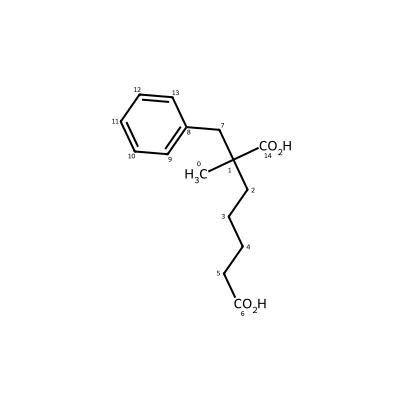 CC(CCCCC(=O)O)(Cc1ccccc1)C(=O)O